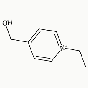 CC[n+]1ccc(CO)cc1